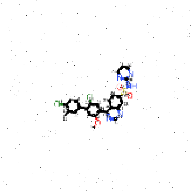 COc1cc(-c2ccc(Cl)c(C)c2)c(Cl)cc1-c1ncnc2cc(S(=O)(=O)Nc3ncccn3)ccc12